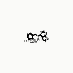 COC1(O)C=CC=C(CNc2ncnc3nc[nH]c23)C1O